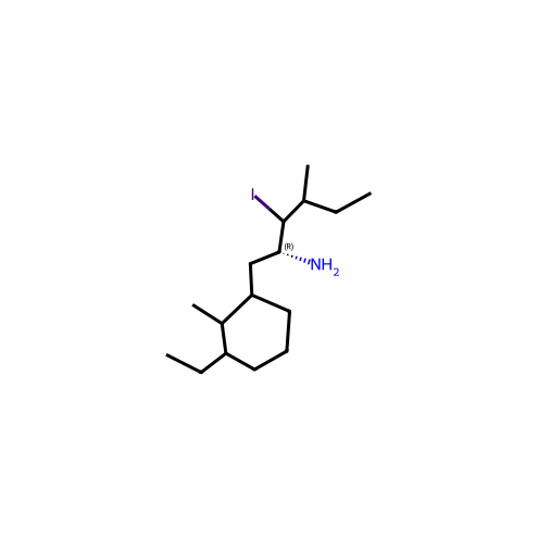 CCC(C)C(I)[C@H](N)CC1CCCC(CC)C1C